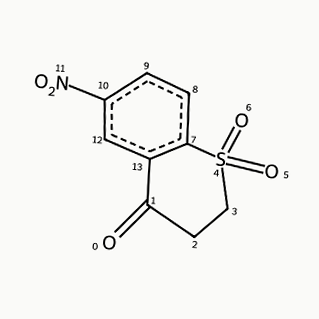 O=C1CCS(=O)(=O)c2ccc([N+](=O)[O-])cc21